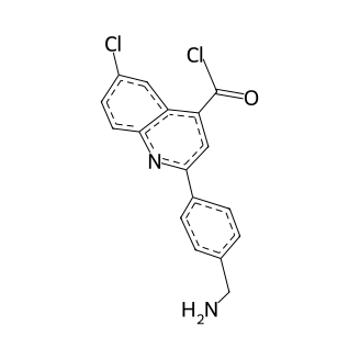 NCc1ccc(-c2cc(C(=O)Cl)c3cc(Cl)ccc3n2)cc1